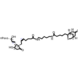 CCCCC[C@H](O)/C=C/[C@H]1[C@H](O)CC(=O)[C@@H]1C/C=C\CCCC(=O)NCCCCCNC(=O)CCCCC1SC[C@@H]2CC(=O)N[C@H]1C2